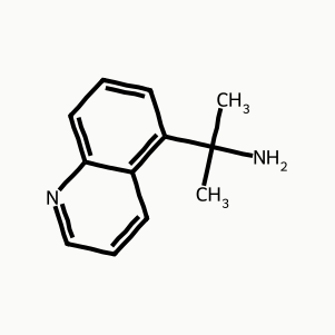 CC(C)(N)c1cccc2ncccc12